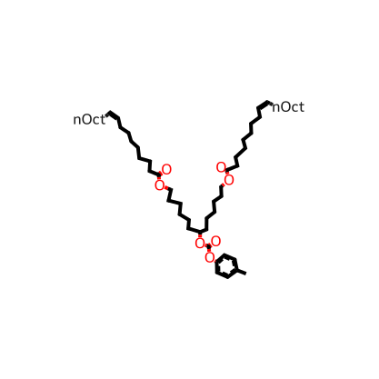 CCCCCCCC/C=C\CCCCCCCC(=O)OCCCCCCC(CCCCCCOC(=O)CCCCCCC/C=C\CCCCCCCC)OC(=O)Oc1ccc(C)cc1